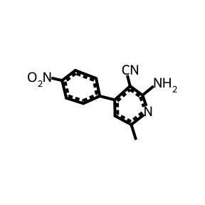 Cc1cc(-c2ccc([N+](=O)[O-])cc2)c(C#N)c(N)n1